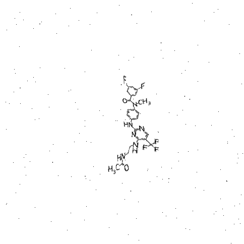 CC(=O)NCCNc1nc(Nc2ccc(N(C)C(=O)c3cc(F)cc(F)c3)cc2)ncc1C(F)(F)F